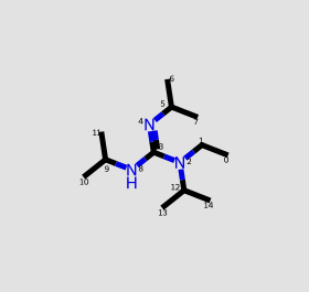 CCN(C(=NC(C)C)NC(C)C)C(C)C